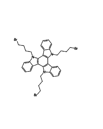 BrCCCCn1c2ccccc2c2c1c1c3ccccc3n(CCCCBr)c1c1c3ccccc3n(CCCCBr)c21